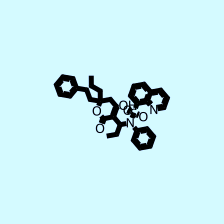 CCCC1(CCc2ccccc2)CC(O)=C(C(CC)N(c2ccccc2)S(=O)(=O)c2cccc3cccnc23)C(=O)O1